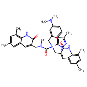 CCN(Cc1cc2cc(C)cc(C)c2[nH]c1=O)C(=O)[N+](Cc1cccc(N(C)C)c1)(Cc1cc2cc(C)cc(C)c2[nH]c1=O)c1cc(C)n[nH]1